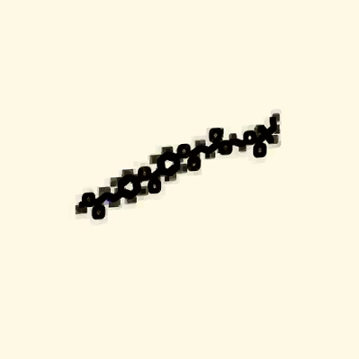 CCC(C)(C)C(=O)OCCOC(=O)CCC(=O)Oc1ccc(C(=O)Oc2ccc(/C=C/C(=O)OC)cc2)cc1